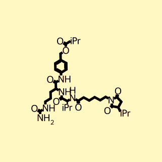 CC(C)C(=O)OCc1ccc(NC(=O)C(CCCNC(N)=O)NC(=O)[C@@H](NC(=O)CCCCCN2C(=O)CC(C(C)C)C2=O)C(C)C)cc1